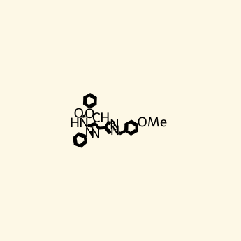 COc1ccc(Cn2cc(-c3nn(-c4ccccc4)c(NC(=O)Oc4ccccc4)c3C)cn2)cc1